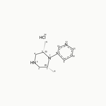 C[C@@H]1CNC[C@H](C)N1c1cccnc1.Cl